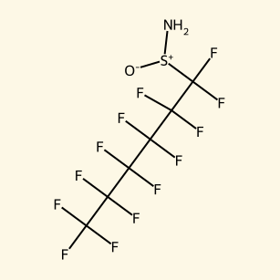 N[S+]([O-])C(F)(F)C(F)(F)C(F)(F)C(F)(F)C(F)(F)C(F)(F)F